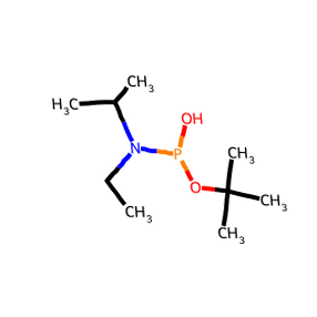 CCN(C(C)C)P(O)OC(C)(C)C